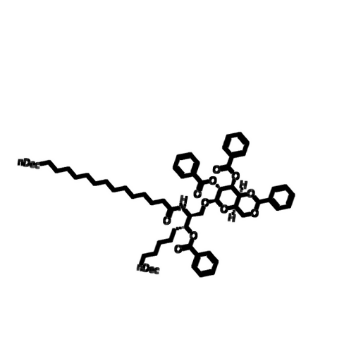 CCCCCCCCCCCCCCCCCCCCCCCC(=O)N[C@@H](CO[C@@H]1O[C@@H]2COC(c3ccccc3)O[C@@H]2[C@H](OC(=O)c2ccccc2)[C@H]1OC(=O)c1ccccc1)[C@@H](CCCCCCCCCCCCCCC)OC(=O)c1ccccc1